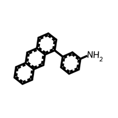 Nc1cccc(-c2cccc3cc4ccccc4cc23)c1